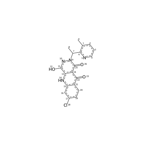 Cc1cccnc1C(C)n1nc(O)c2[nH]c3cc(Cl)ccc3c(=O)c2c1=O